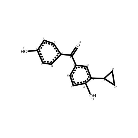 O=C(c1ccc(O)cc1)c1ccc(O)c(C2CC2)c1